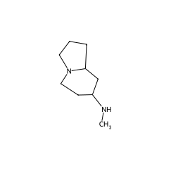 CNC1CCN2CCCC2C1